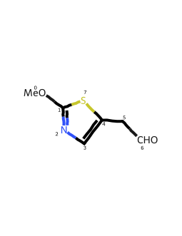 COc1ncc(CC=O)s1